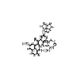 OCC1COCCN(c2nc(OCC34CCCN3CCC4)nc3c(F)c(-c4cc(O)cc5ccc(F)c(F)c45)ncc23)C1